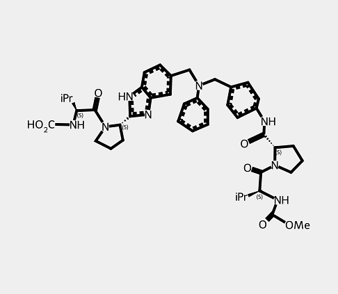 COC(=O)N[C@H](C(=O)N1CCC[C@H]1C(=O)Nc1ccc(CN(Cc2ccc3[nH]c([C@@H]4CCCN4C(=O)[C@@H](NC(=O)O)C(C)C)nc3c2)c2ccccc2)cc1)C(C)C